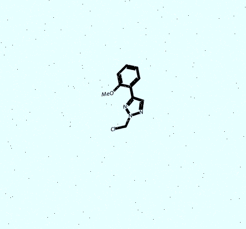 COc1ccccc1-c1cnn(CCl)n1